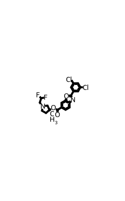 CC1(OC(=O)c2ccc3nc(-c4cc(Cl)cc(Cl)c4)oc3c2)CCN(CC(F)F)C1